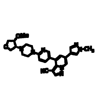 CO[C@@H]1COC[C@H]1N1CCN(c2ccc(-c3cc(-c4cnn(C)c4)cn4ncc(C#N)c34)cn2)CC1